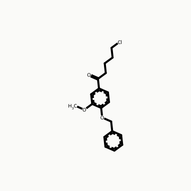 COc1cc(C(=O)CCCCCl)ccc1OCc1ccccc1